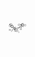 Cc1c([N+](=O)[O-])c(OCCCNc2nc(Cl)ncc2Cl)nn1C1CCC2(CC1)OCCO2